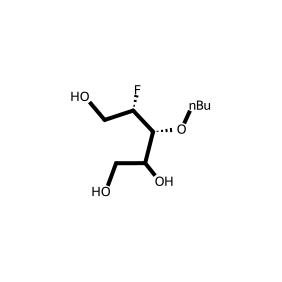 CCCCO[C@H](C(O)CO)[C@@H](F)CO